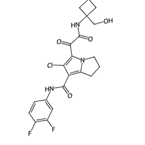 O=C(NC1(CO)CCC1)C(=O)c1c(Cl)c(C(=O)Nc2ccc(F)c(F)c2)c2n1CCC2